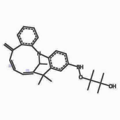 C=C1/C=C\C=C2/C(C)N(c3ccccc31)c1ccc(BOC(C)(C)C(C)(C)O)cc1C2(C)C